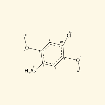 COc1cc([AsH2])c(OC)cc1Cl